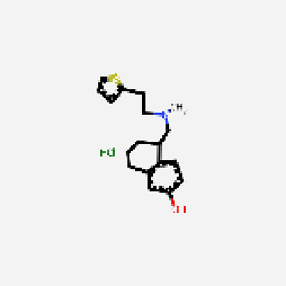 CN(CCc1cccs1)CC1CCCc2cc(O)ccc21.Cl